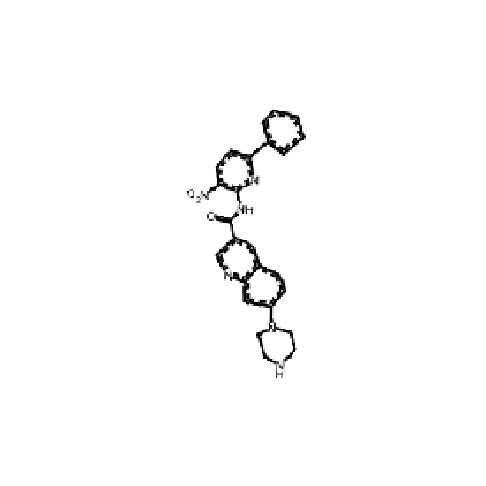 O=C(Nc1nc(-c2ccccc2)ccc1[N+](=O)[O-])c1cnc2cc(N3CCNCC3)ccc2c1